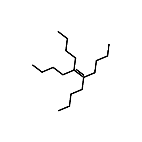 CCCCC(CCCC)=C(CCCC)CCCC